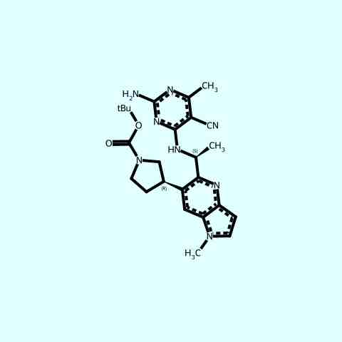 Cc1nc(N)nc(N[C@@H](C)c2nc3ccn(C)c3cc2[C@H]2CCN(C(=O)OC(C)(C)C)C2)c1C#N